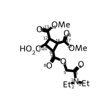 CCN(CC)C(=O)COC(=O)C1C(C(=O)O)C(C(=O)OC)C1C(=O)OC